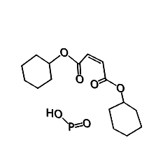 O=C(/C=C\C(=O)OC1CCCCC1)OC1CCCCC1.O=PO